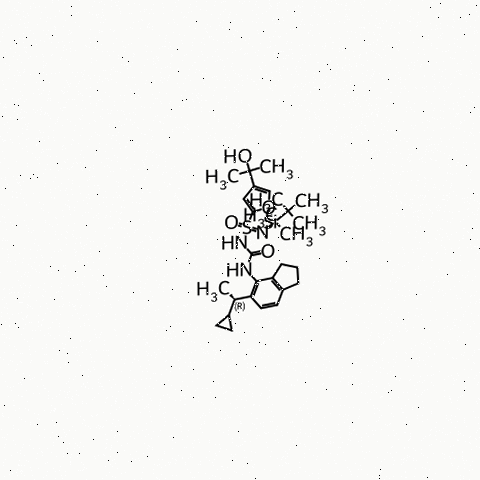 C[C@@H](c1ccc2c(c1NC(=O)NS(=O)(=N[Si](C)(C)C(C)(C)C)c1cc(C(C)(C)O)co1)CCC2)C1CC1